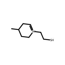 CC1CC=[N+](CCS)CC1